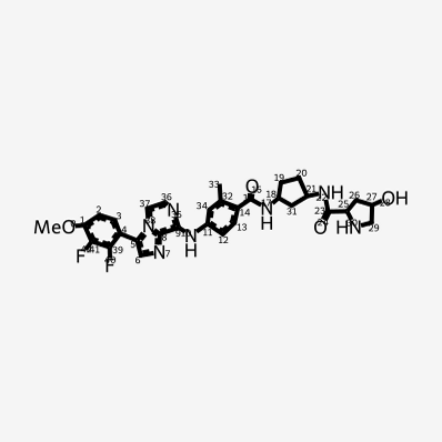 COc1ccc(-c2cnc3c(Nc4ccc(C(=O)NC5CCC(NC(=O)C6CC(O)CN6)C5)c(C)c4)nccn23)c(F)c1F